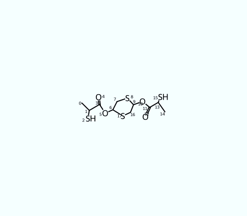 CC(S)C(=O)OC1CSC(OC(=O)C(C)S)CS1